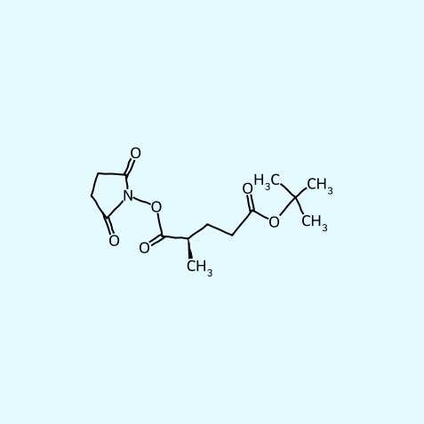 C[C@H](CCC(=O)OC(C)(C)C)C(=O)ON1C(=O)CCC1=O